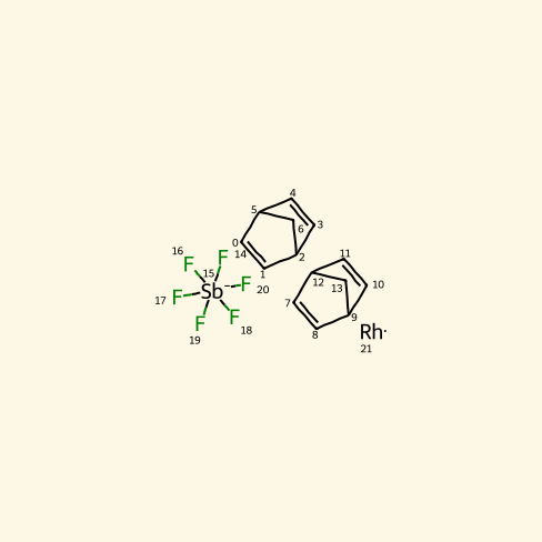 C1=CC2C=CC1C2.C1=CC2C=CC1C2.[F][Sb-]([F])([F])([F])([F])[F].[Rh]